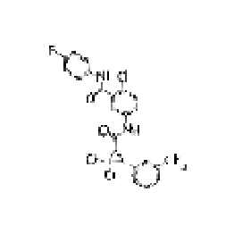 O=C(Nc1ccc(F)cc1)c1cc(NC(=O)[C@H]2[C@H](c3cccc(C(F)(F)F)c3)C2(Cl)Cl)ccc1Cl